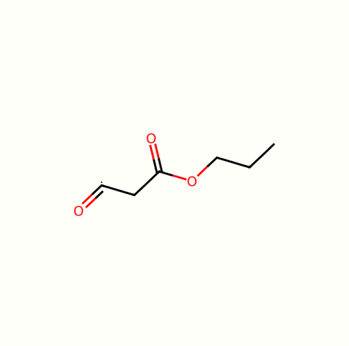 CCCOC(=O)C[C]=O